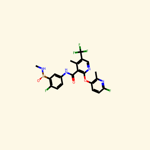 CN[S@+]([O-])c1cc(NC(=O)c2c(Oc3ccc(F)nc3C)ncc(C(F)(F)F)c2C)ccc1F